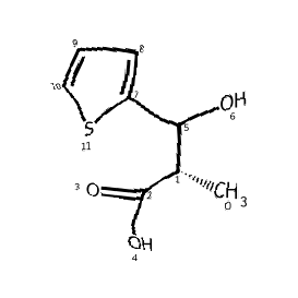 C[C@H](C(=O)O)C(O)c1cccs1